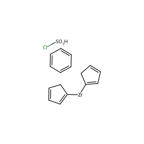 C1=CC[C]([Zr][C]2=CC=CC2)=C1.O=S(=O)(O)Cl.c1ccccc1